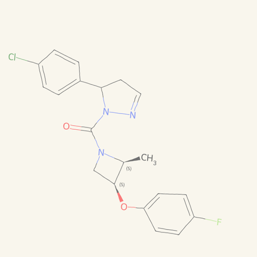 C[C@H]1[C@@H](Oc2ccc(F)cc2)CN1C(=O)N1N=CCC1c1ccc(Cl)cc1